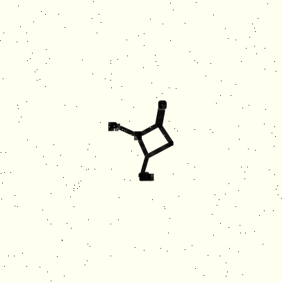 CC(C)N1C(=O)CC1C(C)(C)C